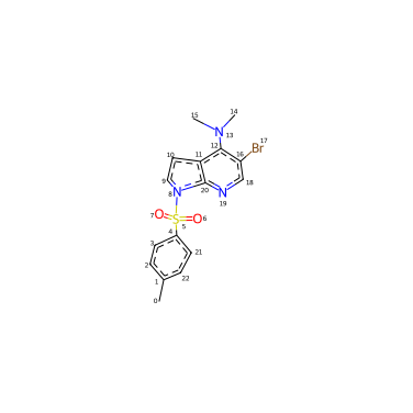 Cc1ccc(S(=O)(=O)n2ccc3c(N(C)C)c(Br)cnc32)cc1